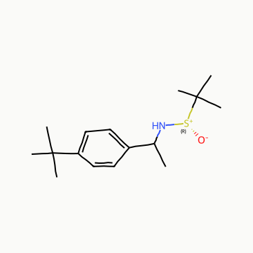 CC(N[S@@+]([O-])C(C)(C)C)c1ccc(C(C)(C)C)cc1